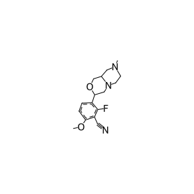 COc1ccc(C2CN3CCN(C)CC3CO2)c(F)c1C#N